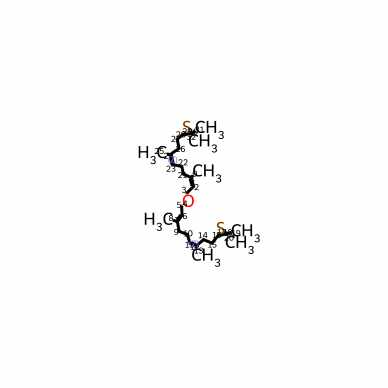 CC(=CCOCC=C(C)CC/C=C(/C)CCC1SC1(C)C)CC/C=C(/C)CCC1SC1(C)C